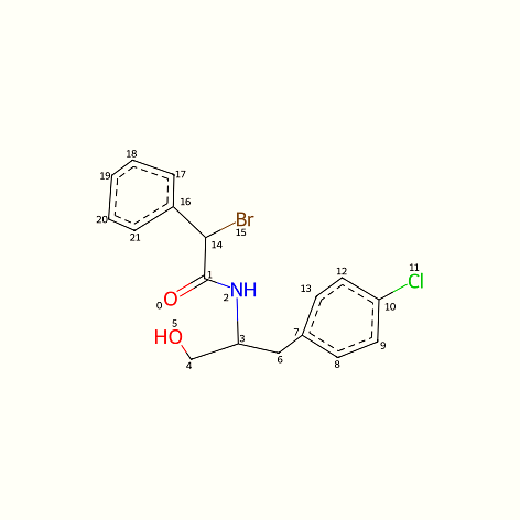 O=C(NC(CO)Cc1ccc(Cl)cc1)C(Br)c1ccccc1